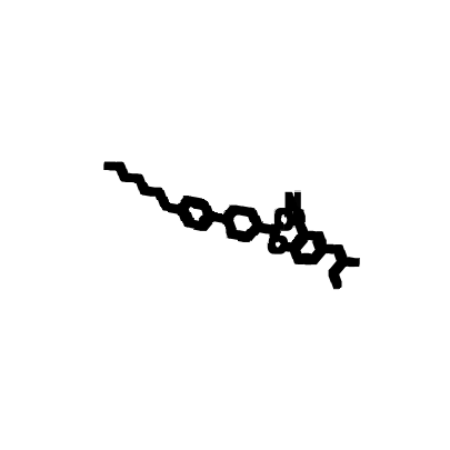 CCCCCCCc1ccc(C2CCC(C(=O)Oc3ccc(CC(C)CC)cc3C#N)CC2)cc1